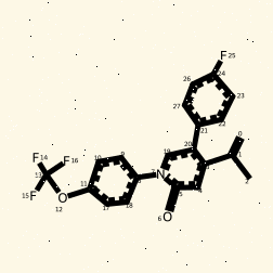 C=C(C)c1cc(=O)n(-c2ccc(OC(F)(F)F)cc2)cc1-c1ccc(F)cc1